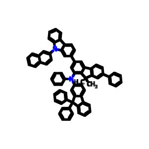 CC1(C)c2cc(-c3ccccc3)ccc2-c2cc(-c3ccc4c5ccccc5n(-c5ccc6ccccc6c5)c4c3)cc(N(c3ccccc3)c3ccc4c(c3)C(c3ccccc3)(c3ccccc3)c3ccccc3-4)c21